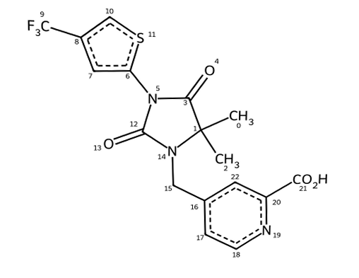 CC1(C)C(=O)N(c2cc(C(F)(F)F)cs2)C(=O)N1Cc1ccnc(C(=O)O)c1